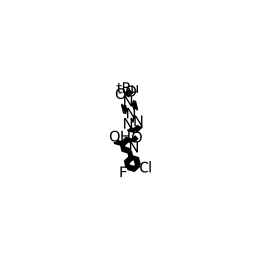 CC(C)(C)OC(=O)N1CCN(c2ncc(Oc3cc(CO)cc(-c4cc(F)cc(Cl)c4)n3)cn2)CC1